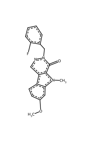 COc1ccc2c3cnn(Cc4ccccc4F)c(=O)c3n(C)c2c1